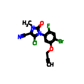 C#CCOc1cc(-n2c(Cl)c(C#N)n(C)c2=O)c(F)cc1Br